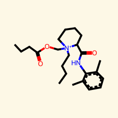 CCCC[N+]1(COC(=O)CCC)CCCCC1C(=O)Nc1c(C)cccc1C